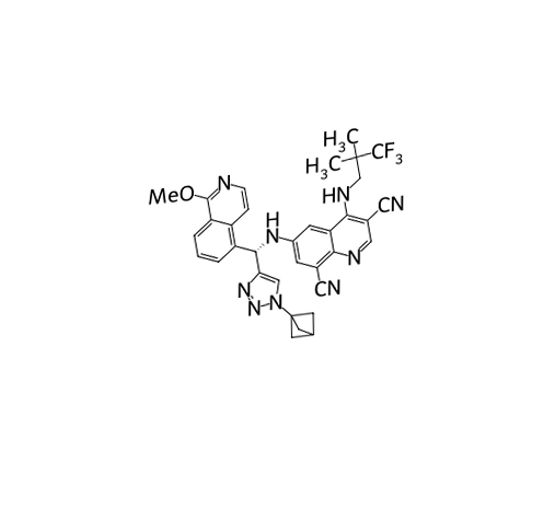 COc1nccc2c([C@H](Nc3cc(C#N)c4ncc(C#N)c(NCC(C)(C)C(F)(F)F)c4c3)c3cn(C45CC(C4)C5)nn3)cccc12